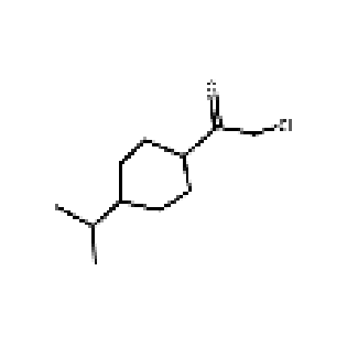 CC(C)C1CCC(C(=O)CCl)CC1